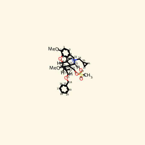 COc1ccc2c3c1O[C@H]1[C@@]4(OC)CC[C@@]5([C@@H](COS(C)(=O)=O)[C@@H]4COCc4ccccc4)[C@@H](C2)N(CC2CC2)CC[C@]315